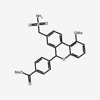 COC(=O)c1ccc(C2Oc3cccc(OC)c3-c3ccc(CS(N)(=O)=O)cc32)cc1